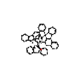 c1ccc(N(c2ccccc2)c2ccc3c(c2)C2(c4ccccc4-3)c3ccccc3-c3c2c(N(c2ccccc2)c2cccc4c2sc2ccccc24)cc2ccccc32)cc1